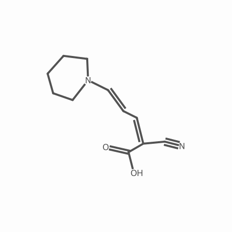 N#CC(=CC=CN1CCCCC1)C(=O)O